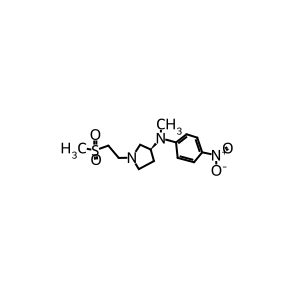 CN(c1ccc([N+](=O)[O-])cc1)[C@H]1CCN(CCS(C)(=O)=O)C1